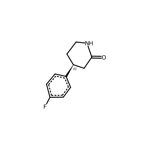 O=C1C[C@@H](c2ccc(F)cc2)CCN1